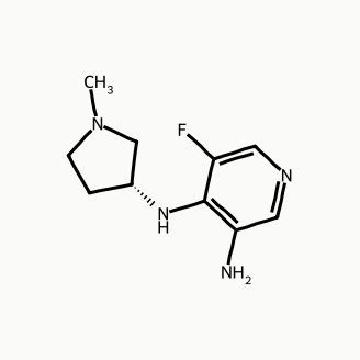 CN1CC[C@@H](Nc2c(N)cncc2F)C1